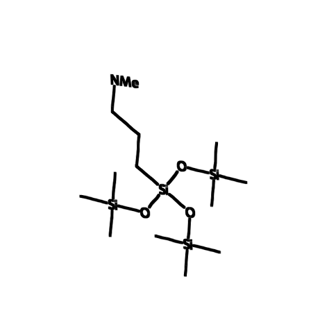 CNCCC[Si](O[Si](C)(C)C)(O[Si](C)(C)C)O[Si](C)(C)C